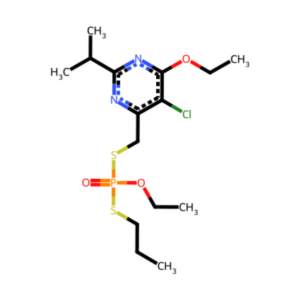 CCCSP(=O)(OCC)SCc1nc(C(C)C)nc(OCC)c1Cl